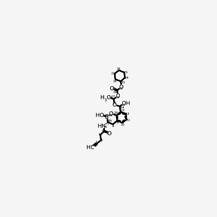 C#CCCC(=O)N[C@H]1Cc2cccc(C(O)OC(C)OC(=O)OC3CCCCC3)c2OB1O